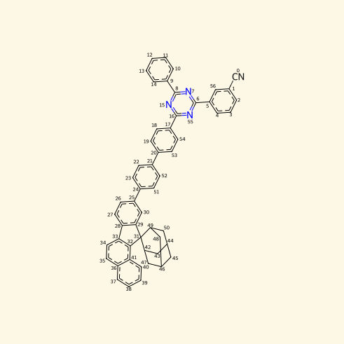 N#Cc1cccc(-c2nc(-c3ccccc3)nc(-c3ccc(-c4ccc(-c5ccc6c(c5)C5(c7c-6ccc6ccccc76)C6CC7CC(C6)CC5C7)cc4)cc3)n2)c1